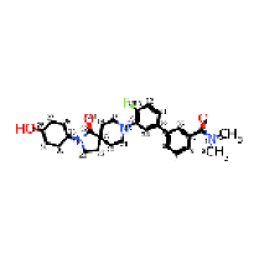 CN(C)C(=O)c1cccc(-c2ccc(F)c(N3CCC4(CC3)CCN(C3CCC(O)CC3)C4=O)c2)c1